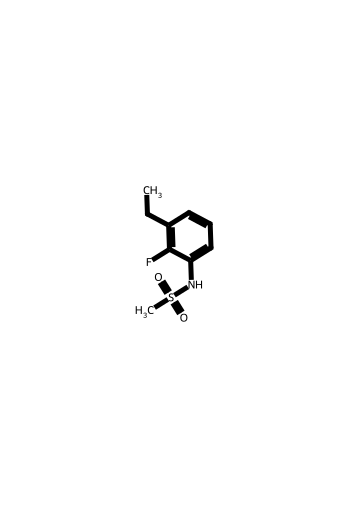 CCc1cccc(NS(C)(=O)=O)c1F